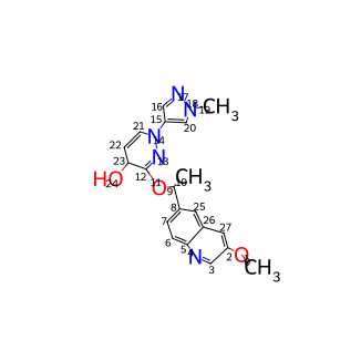 COc1cnc2ccc(C(C)OC3=NN(c4cnn(C)c4)C=CC3O)cc2c1